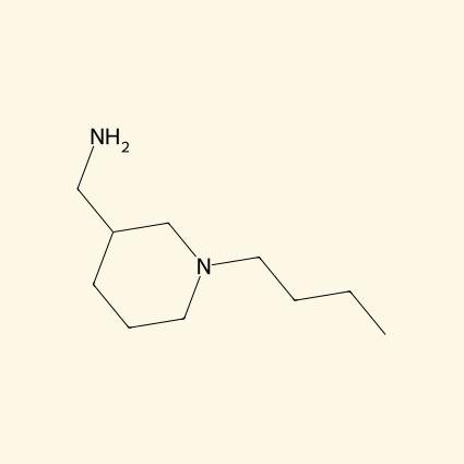 CCCCN1CCCC(CN)C1